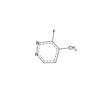 Cc1ccnnc1F